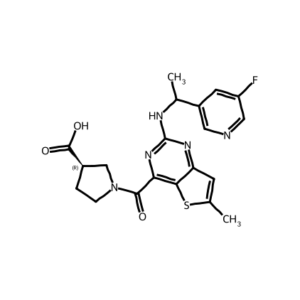 Cc1cc2nc(NC(C)c3cncc(F)c3)nc(C(=O)N3CC[C@@H](C(=O)O)C3)c2s1